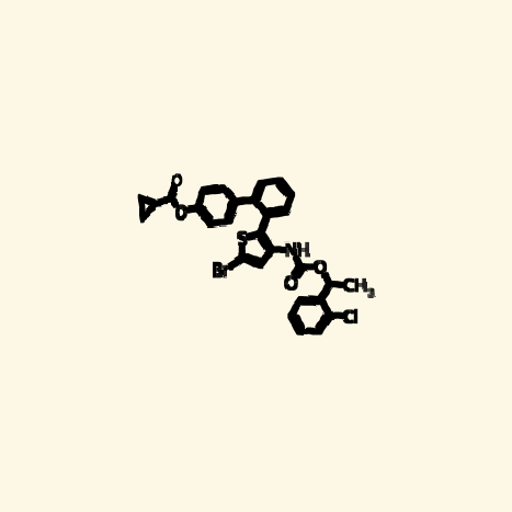 CC(OC(=O)Nc1cc(Br)sc1-c1ccccc1-c1ccc(OC(=O)C2CC2)cc1)c1ccccc1Cl